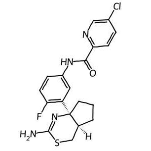 NC1=N[C@@]2(c3cc(NC(=O)c4ccc(Cl)cn4)ccc3F)CCC[C@H]2CS1